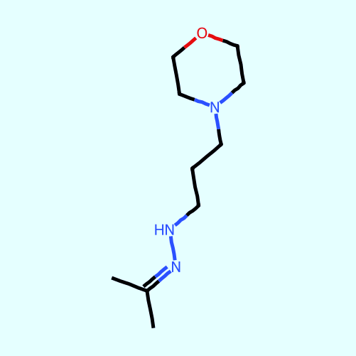 CC(C)=NNCCCN1CCOCC1